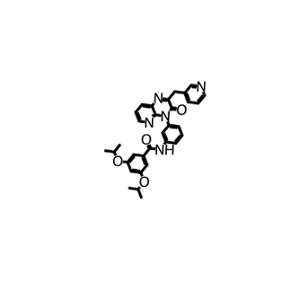 CC(C)Oc1cc(OC(C)C)cc(C(=O)Nc2cccc(-n3c(=O)c(Cc4cccnc4)nc4cccnc43)c2)c1